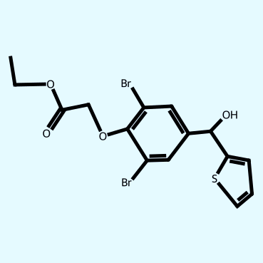 CCOC(=O)COc1c(Br)cc(C(O)c2cccs2)cc1Br